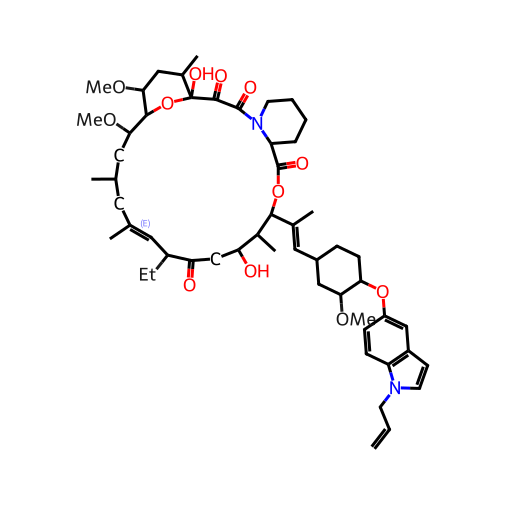 C=CCn1ccc2cc(OC3CCC(C=C(C)C4OC(=O)C5CCCCN5C(=O)C(=O)C5(O)OC(C(OC)CC(C)C/C(C)=C/C(CC)C(=O)CC(O)C4C)C(OC)CC5C)CC3OC)ccc21